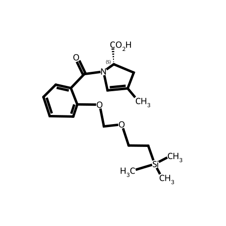 CC1=CN(C(=O)c2ccccc2OCOCC[Si](C)(C)C)[C@H](C(=O)O)C1